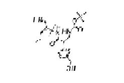 CC/C=C(/C=N)C(C)(C)NC(=O)C(CNC(=O)OC(C)(C)C)c1ccc(CO)s1